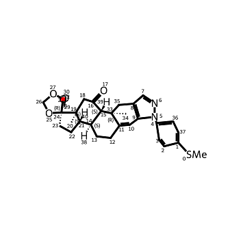 CSc1ccc(-n2ncc3c2C=C2CC[C@@H]4[C@H](C(=O)C[C@@]5(C)[C@H]4CC[C@@]54OCOC45COCO5)[C@@]2(C)C3)cc1